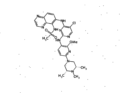 COc1nc(N2C[C@@H](C)N(C)[C@@H](C)C2)ccc1Nc1ncc(Cl)c(Nc2ccc3nccnc3c2NS(C)(=O)=O)n1